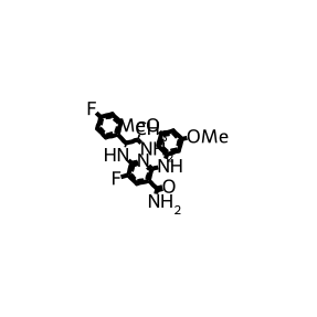 COc1cc(Nc2nc(N[C@H](c3ccc(F)cc3)[C@H](C)N)c(F)cc2C(N)=O)cc(OC)c1